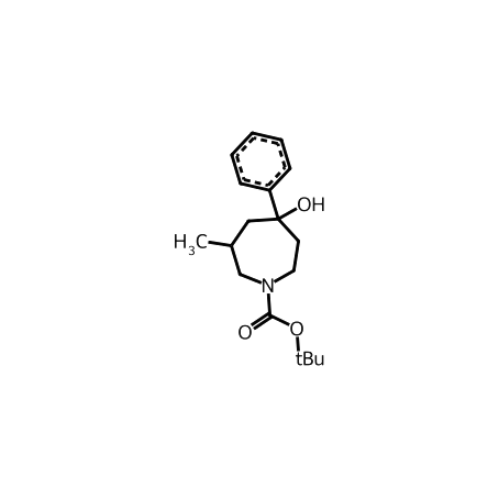 CC1CN(C(=O)OC(C)(C)C)CCC(O)(c2ccccc2)C1